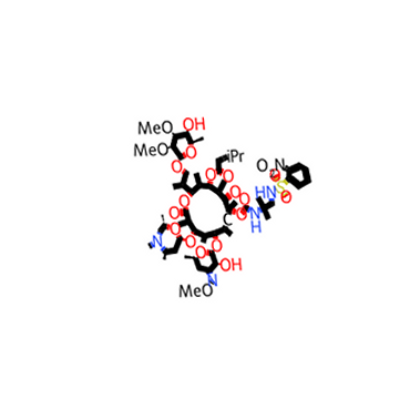 CON=C1C[C@@H](C)O[C@@H](OC2C(C)CC(C)(OC(=O)NC(C)(C)CNS(=O)(=O)c3ccccc3[N+](=O)[O-])C(=O)C(C)C(OC(=O)CC(C)C)C(C)C(C(C)CO[C@@H]3O[C@H](C)[C@@H](O)[C@@H](OC)[C@H]3OC)OC(=O)C(C)C(O[C@H]3C[C@@H](C)N(C)C[C@H](C)O3)C2C)[C@@H]1O